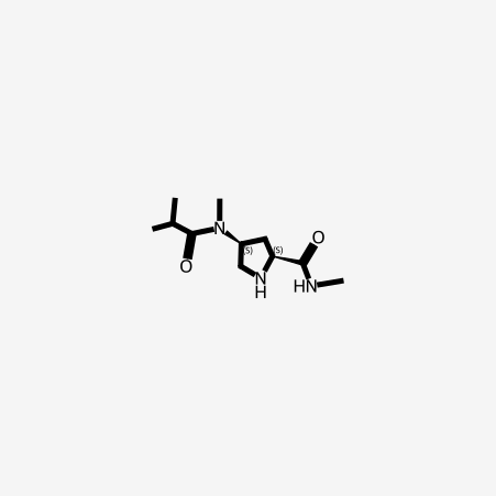 CNC(=O)[C@@H]1C[C@H](N(C)C(=O)C(C)C)CN1